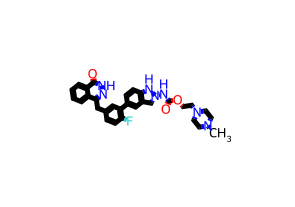 CN1CCN(CCOC(=O)NN2Cc3cc(-c4cc(Cc5n[nH]c(=O)c6ccccc56)ccc4F)ccc3N2)CC1